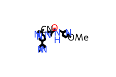 COc1ccc(CNC(=O)C2CN(c3cc(-c4cnn(C)c4)cn4ncc(C#N)c34)C2)cn1